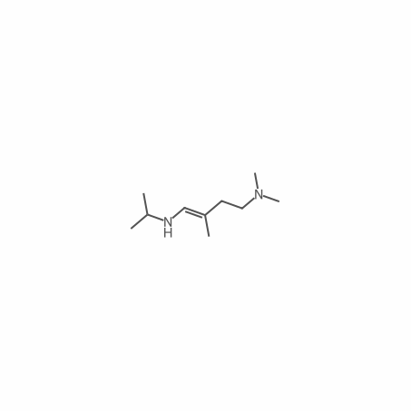 C/C(=C\NC(C)C)CCN(C)C